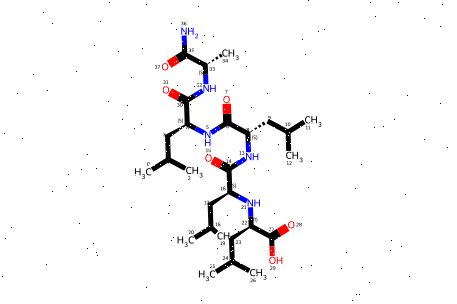 CC(C)C[C@H](NC(=O)[C@H](CC(C)C)NC(=O)[C@H](CC(C)C)N[C@H](CC(C)C)C(=O)O)C(=O)N[C@@H](C)C(N)=O